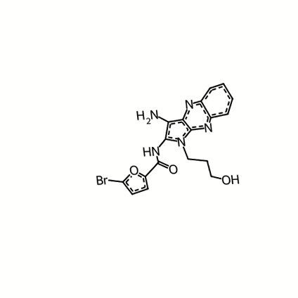 Nc1c(NC(=O)c2ccc(Br)o2)n(CCCO)c2nc3ccccc3nc12